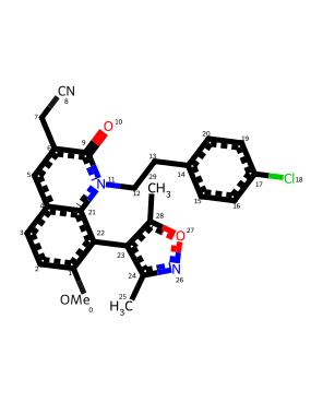 COc1ccc2cc(CC#N)c(=O)n(CCc3ccc(Cl)cc3)c2c1-c1c(C)noc1C